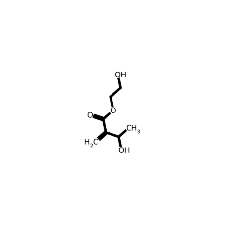 C=C(C(=O)OCCO)C(C)O